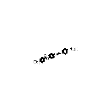 CCCCCCC[C@H]1CC[C@H](CCCOc2ccc(OC(=O)c3ccc(OCC)cc3)cc2)CC1